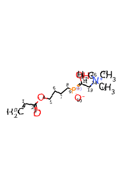 C=CC(=O)OCCCC/[P+]([O-])=C(\O)C[N+](C)(C)C